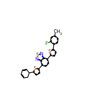 Cc1ccc(-c2ccc(-c3ccc(-c4ccc(C5C=CC=CC5)s4)c4nsnc34)s2)c(F)c1